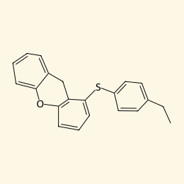 CCc1ccc(Sc2cccc3c2Cc2ccccc2O3)cc1